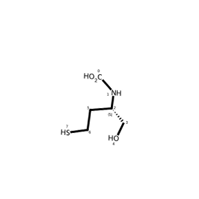 O=C(O)N[C@H](CO)CCS